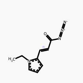 CCn1cccc1/C=C/C(=O)N=[N+]=[N-]